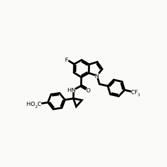 O=C(O)c1ccc(C2(NC(=O)c3cc(F)cc4ccn(Cc5ccc(C(F)(F)F)cc5)c34)CC2)cc1